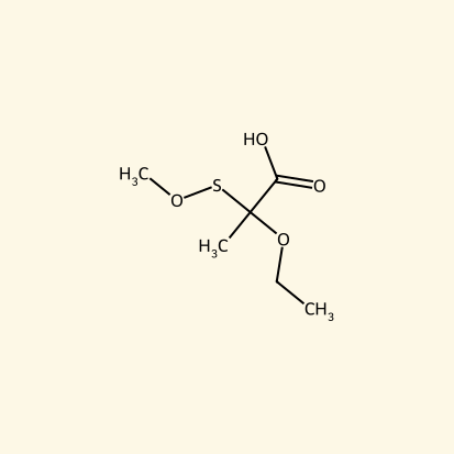 CCOC(C)(SOC)C(=O)O